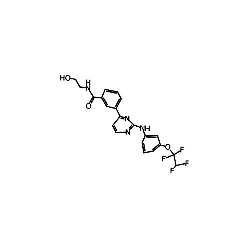 O=C(NCCO)c1cccc(-c2ccnc(Nc3cccc(OC(F)(F)C(F)F)c3)n2)c1